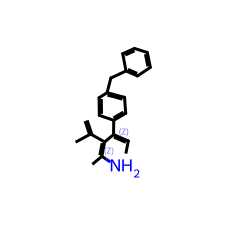 C=C(C)C(/C(=C\C)c1ccc(Cc2ccccc2)cc1)=C(\C)N